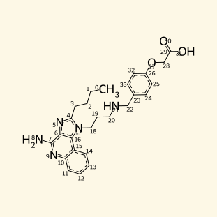 CCCCc1nc2c(N)nc3ccccc3c2n1CCCNCc1ccc(OCC(=O)O)cc1